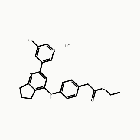 CCOC(=O)Cc1ccc(Nc2cc(-c3cncc(Cl)c3)nc3c2CCC3)cc1.Cl